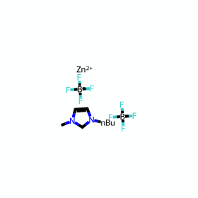 CCCCN1C=CN(C)C1.F[B-](F)(F)F.F[B-](F)(F)F.[Zn+2]